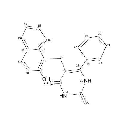 C=C1NC(=O)C(Cc2c(O)ccc3ccccc23)=C(c2ccccc2)N1